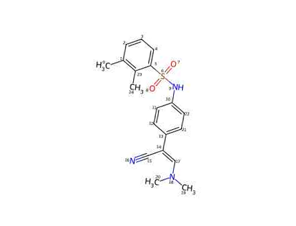 Cc1cccc(S(=O)(=O)Nc2ccc(/C(C#N)=C/N(C)C)cc2)c1C